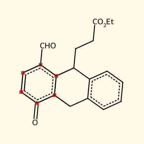 CCOC(=O)CCC12c3ccccc3C(c3ccccc31)C1C(=O)C=CC(C=O)C12